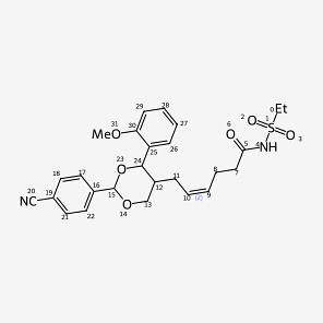 CCS(=O)(=O)NC(=O)CC/C=C\CC1COC(c2ccc(C#N)cc2)OC1c1ccccc1OC